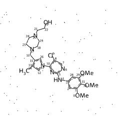 COc1cc(Nc2ncc(Cl)c(-n3cc(C)c(CN4CCN(CCO)CC4)c3)n2)cc(OC)c1OC